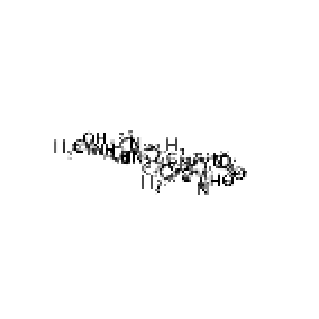 Cc1c(Nc2nccc3cc(CNCC(C)O)cnc23)cccc1-c1cccc(-c2nc3cc(CN4CCC(C(=O)O)C4)cc(C#N)c3o2)c1C